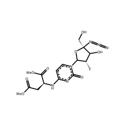 COC(=O)C[C@H](Nc1ccn(C2O[C@@](CO)(N=[N+]=[N-])C(O)[C@@H]2F)c(=O)n1)C(=O)OC